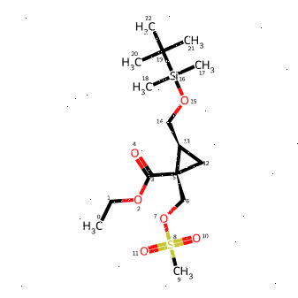 CCOC(=O)[C@@]1(COS(C)(=O)=O)C[C@@H]1CO[Si](C)(C)C(C)(C)C